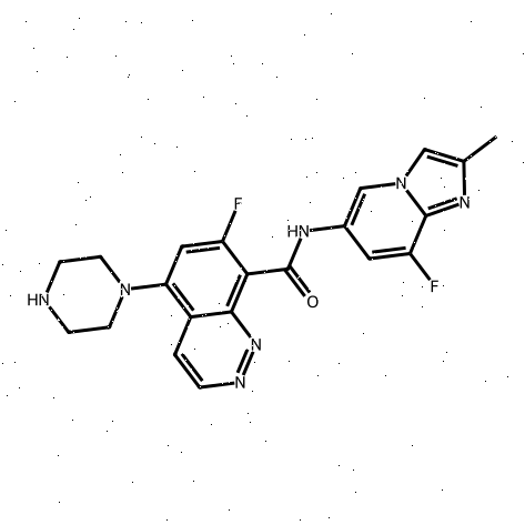 Cc1cn2cc(NC(=O)c3c(F)cc(N4CCNCC4)c4ccnnc34)cc(F)c2n1